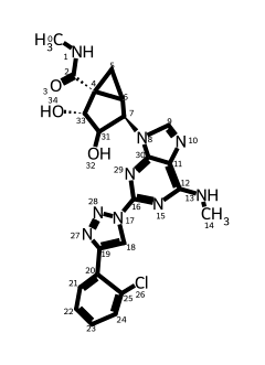 CNC(=O)[C@]12CC1[C@@H](n1cnc3c(NC)nc(-n4cc(-c5ccccc5Cl)nn4)nc31)C(O)[C@@H]2O